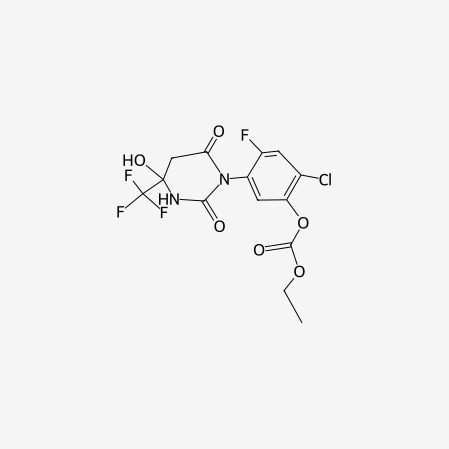 CCOC(=O)Oc1cc(N2C(=O)CC(O)(C(F)(F)F)NC2=O)c(F)cc1Cl